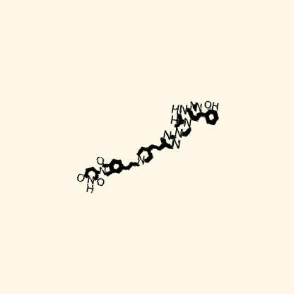 O=C1CCC(N2Cc3cc(CCCN4CCC(CCc5cnc(N6CCN7c8cc(-c9ccccc9O)nnc8NC[C@@H]7C6)nc5)CC4)ccc3C2=O)C(=O)N1